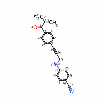 CC(C)C(=O)c1ccc(C#CCNc2ccc(C#N)cc2)cc1